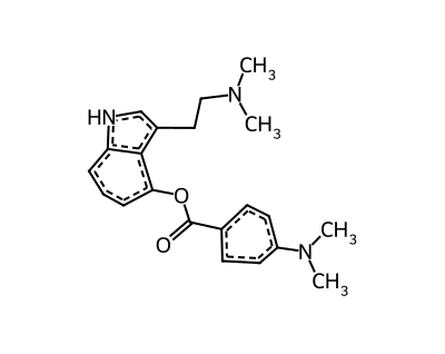 CN(C)CCc1c[nH]c2cccc(OC(=O)c3ccc(N(C)C)cc3)c12